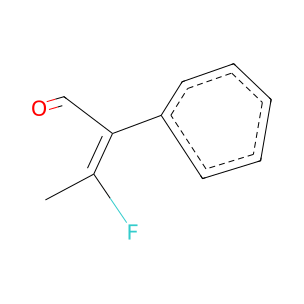 CC(F)=C(C=O)c1ccccc1